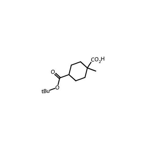 CC(C)(C)OC(=O)C1CCC(C)(C(=O)O)CC1